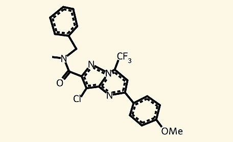 COc1ccc(-c2cc(C(F)(F)F)n3nc(C(=O)N(C)Cc4ccccc4)c(Cl)c3n2)cc1